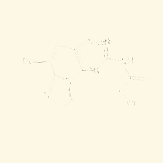 CC(C)OC(=O)Nc1ncc2c(n1)N1CCN=C1C(Br)=C2